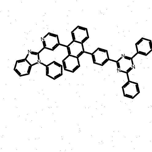 c1ccc(-c2nc(-c3ccccc3)nc(-c3ccc(-c4c5ccccc5c(-c5ccnc(-c6nc7ccccc7n6-c6ccccc6)c5)c5ccccc45)cc3)n2)cc1